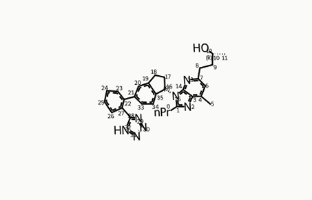 CCCc1nc2c(C)cc(CC[C@@H](C)O)nc2n1[C@H]1CCc2cc(-c3ccccc3-c3nnn[nH]3)ccc21